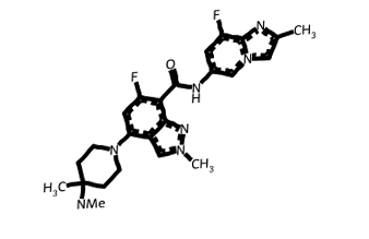 CNC1(C)CCN(c2cc(F)c(C(=O)Nc3cc(F)c4nc(C)cn4c3)c3nn(C)cc23)CC1